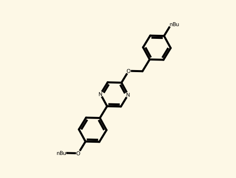 CCCCOc1ccc(-c2cnc(OCc3ccc(CCCC)cc3)cn2)cc1